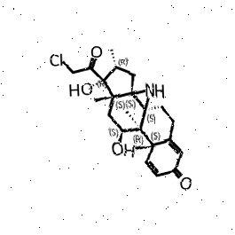 C[C@@H]1C[C@@]23N[C@]24CCC2=CC(=O)C=C[C@]2(C)[C@@]4(C)[C@@H](O)C[C@]3(C)[C@@]1(O)C(=O)CCl